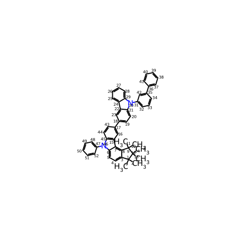 CC1(C)c2ccc3c(c2C(C)(C)C1(C)C)c1cc(-c2ccc4c(c2)c2ccccc2n4-c2cccc(-c4ccccc4)c2)ccc1n3-c1ccccc1